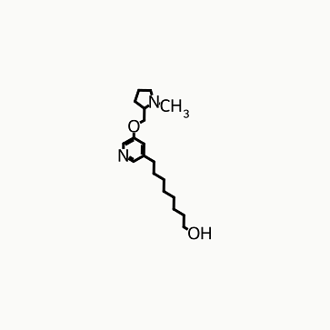 CN1CCCC1COc1cncc(CCCCCCCCO)c1